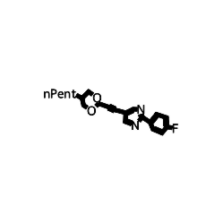 CCCCCC1COC(C#Cc2cnc(-c3ccc(F)cc3)nc2)OC1